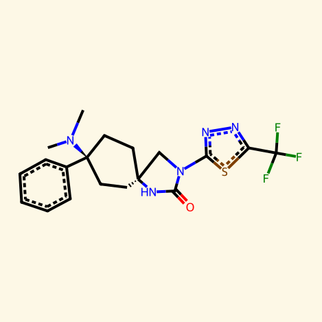 CN(C)[C@]1(c2ccccc2)CC[C@]2(CC1)CN(c1nnc(C(F)(F)F)s1)C(=O)N2